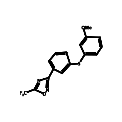 COc1cccc(Sc2[c]ccc(-c3noc(C(F)(F)F)n3)c2)c1